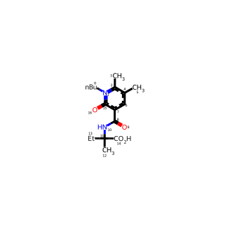 CCCCn1c(C)c(C)cc(C(=O)NC(C)(CC)C(=O)O)c1=O